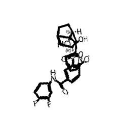 O=C(Nc1ccc(F)c(F)c1)c1ccc(Cl)c(S(=O)(=O)[C@@H]2CC3CC[C@@H](C2)[C@@]3(O)C(O)c2ccccn2)c1